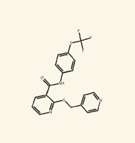 O=C(Nc1ccc(SC(F)(F)F)cc1)c1cccnc1SCc1ccncc1